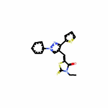 CCN1C(=O)/C(=C/c2cn(-c3ccccc3)nc2-c2cccs2)SC1=S